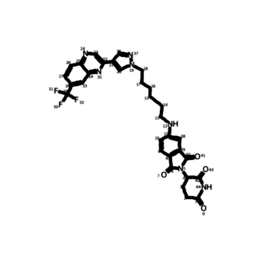 O=C1CCC(N2C(=O)c3ccc(NCCCCCCn4cc(-c5cnc6ccc(C(F)(F)F)cc6n5)cn4)cc3C2=O)C(=O)N1